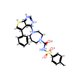 Cc1ccc(S(=O)(=O)NC(=O)N2CCCN(c3ncnc4scc(-c5ccccc5)c34)CC2)cc1